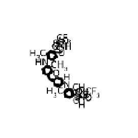 Cc1cc(S(=O)(=O)NS(=O)(=O)C(F)(F)F)cc(C)c1Nc1ccc2c(c1)OC1=CC(Nc3c(C)ccc(S(=O)(=O)NS(=O)(=O)C(F)(F)F)c3C)C=CC1=C2